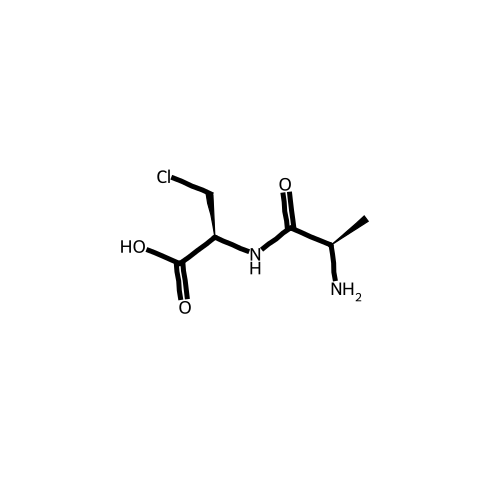 C[C@@H](N)C(=O)N[C@H](CCl)C(=O)O